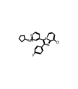 Fc1ccc(-c2nc3c(Cl)cccn3c2-c2ccnc(NC3CCCC3)c2)cc1